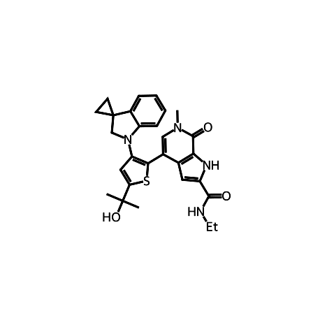 CCNC(=O)c1cc2c(-c3sc(C(C)(C)O)cc3N3CC4(CC4)c4ccccc43)cn(C)c(=O)c2[nH]1